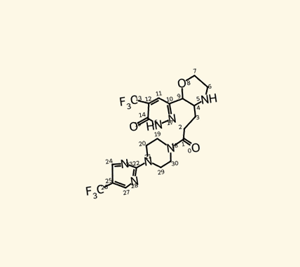 O=C(CCC1NCCOC1c1cc(C(F)(F)F)c(=O)[nH]n1)N1CCN(c2ncc(C(F)(F)F)cn2)CC1